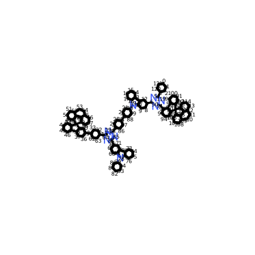 c1ccc(-c2nc(-c3ccc4c(c3)c3ccccc3n4-c3ccc(-c4ccc(-c5nc(-c6ccc(-c7ccc8c(c7)C7(c9ccccc9-8)c8cccc9ccc%10cccc7c%10c89)cc6)nc(-c6ccc7c(c6)c6ccccc6n7-c6ccccc6)n5)cc4)cc3)nc(-c3cccc4c3-c3ccccc3C43c4cccc5ccc6cccc3c6c45)n2)cc1